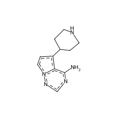 Nc1ncnn2ccc(C3CCNCC3)c12